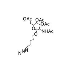 CC(=O)NC1C(OCCCCCN=[N+]=[N-])OC(COC(C)=O)C(OC(C)=O)C1OC(C)=O